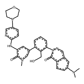 CN(C)c1ccc2c(=O)n(-c3cccc(-c4cc(Nc5ccc(N6CCOCC6)cn5)c(=O)n(C)c4)c3CO)ncc2c1